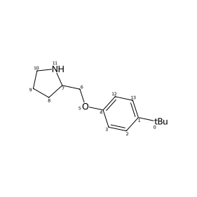 CC(C)(C)c1ccc(OCC2CCCN2)cc1